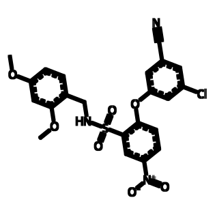 COc1ccc(CNS(=O)(=O)c2cc([N+](=O)[O-])ccc2Oc2cc(Cl)cc(C#N)c2)c(OC)c1